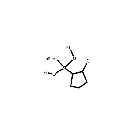 CCCCC[Si](OCC)(OCC)C1CCCC1Cl